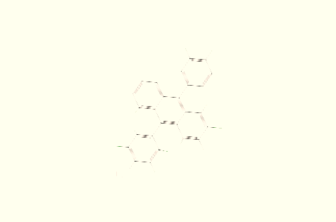 Fc1ccc(-c2c3cccc(F)c3c(-c3c(F)c(F)c(C(F)(F)F)c(F)c3F)c3c(F)c(F)c(F)c(F)c23)cc1F